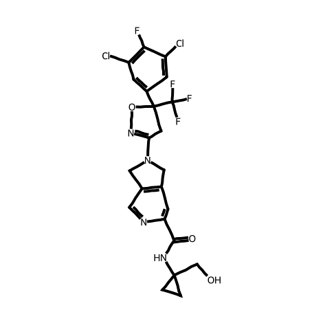 O=C(NC1(CO)CC1)c1cc2c(cn1)CN(C1=NOC(c3cc(Cl)c(F)c(Cl)c3)(C(F)(F)F)C1)C2